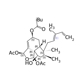 C=C/C(C)=C/C[C@]1(C)[C@H]2C[C@H](OC(=O)C(C)CC)C=C3[C@H](OC(C)=O)O[C@H](OC(C)=O)[C@@]32[C@H](O)C[C@@H]1C